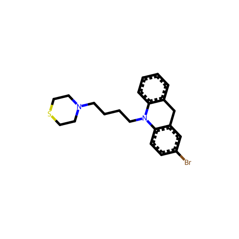 Brc1ccc2c(c1)Cc1ccccc1N2CCCCN1CCSCC1